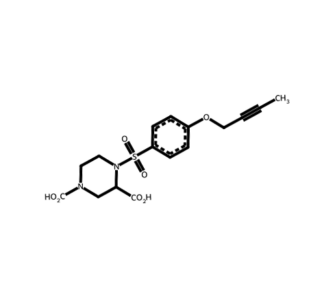 CC#CCOc1ccc(S(=O)(=O)N2CCN(C(=O)O)CC2C(=O)O)cc1